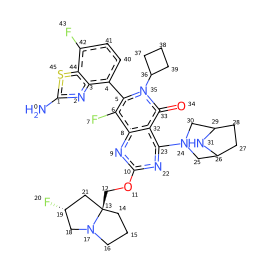 Nc1nc2c(-c3c(F)c4nc(OC[C@@]56CCCN5C[C@H](F)C6)nc(N5CC6CCC(C5)N6)c4c(=O)n3C3CCC3)ccc(F)c2s1